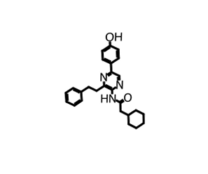 O=C(CC1CCCCC1)Nc1ncc(-c2ccc(O)cc2)nc1CCc1ccccc1